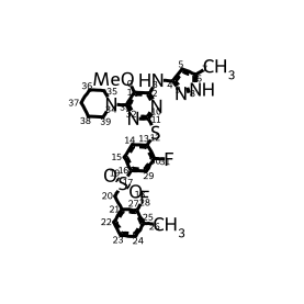 COc1c(Nc2cc(C)[nH]n2)nc(Sc2ccc(S(=O)(=O)Cc3cccc(C)c3F)cc2F)nc1N1CCCCC1